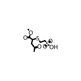 COC(=O)C(CC(C)=O)SCCS(=O)(=O)O